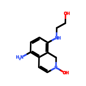 Nc1ccc(NCCO)c2c1C=CN(O)C2